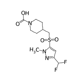 Cn1nc(C(F)F)cc1S(=O)(=O)CC1CCN(C(=O)O)CC1